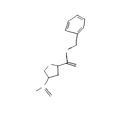 O=C(NCc1ccccc1)C1CC(S(=O)O)CN1